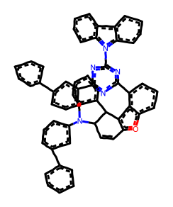 C1=CC2C(c3ccccc3N2c2cccc(-c3ccccc3)c2)c2c1oc1cccc(-c3nc(-c4cccc(-c5ccccc5)c4)nc(-n4c5ccccc5c5ccccc54)n3)c21